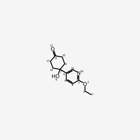 CCOc1ccc(C2(O)CCC(=O)CC2)cn1